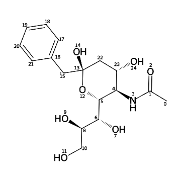 CC(=O)N[C@H]1[C@H]([C@H](O)[C@H](O)CO)O[C@](O)([CH]c2ccccc2)C[C@@H]1O